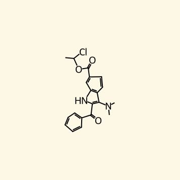 CC(Cl)OC(=O)c1ccc2c(N(C)C)c(C(=O)c3ccccc3)[nH]c2c1